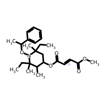 CCC1(C)CC(OC(=O)/C=C/C(=O)OC)C(C)C(C)(CC)N1OC(C)c1ccccc1